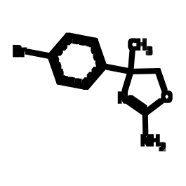 CC1(c2ccc(Br)cc2)COC(N)=N1